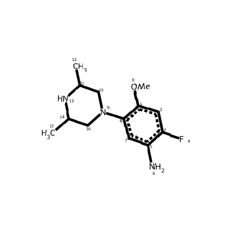 COc1cc(F)c(N)cc1N1CC(C)NC(C)C1